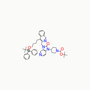 CC(C)(C)OC(=O)N1CCC(n2c(=O)n(Cc3ncc4ccccc4c3CCCCO[Si](c3ccccc3)(c3ccccc3)C(C)(C)C)c3cnccc32)CC1